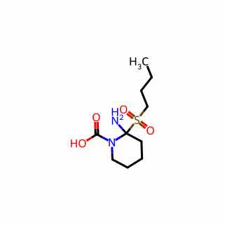 CCCCS(=O)(=O)C1(N)CCCCN1C(=O)O